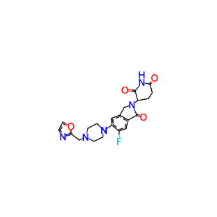 O=C1CCC(N2Cc3cc(N4CCN(Cc5ncco5)CC4)c(F)cc3C2=O)C(=O)N1